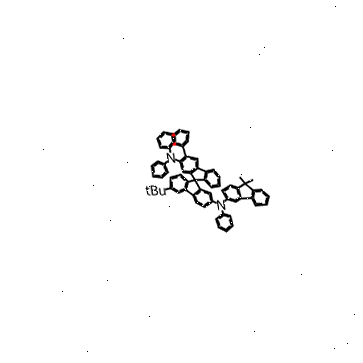 CC(C)(C)c1ccc2c(c1)-c1ccc(N(c3ccccc3)c3ccc4c(c3)-c3ccccc3C4(C)C)cc1C21c2ccccc2-c2cc(-c3ccccc3)c(N(c3ccccc3)c3ccccc3)cc21